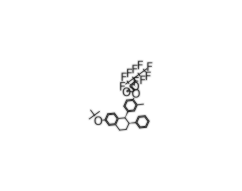 Cc1cc([C@@H]2c3ccc(OC(C)(C)C)cc3CC[C@@H]2c2ccccc2)ccc1OS(=O)(=O)C(F)(F)C(F)(F)C(F)(F)C(F)(F)F